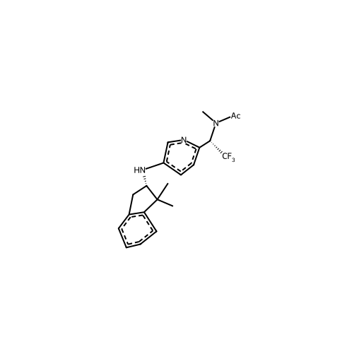 CC(=O)N(C)[C@@H](c1ccc(N[C@H]2Cc3ccccc3C2(C)C)cn1)C(F)(F)F